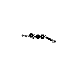 CCCCCCCc1ccc(OC(=O)c2ccc(-c3ccc(OCCCCCCO)cc3)cc2)c(F)c1